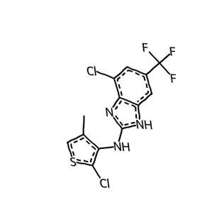 Cc1csc(Cl)c1Nc1nc2c(Cl)cc(C(F)(F)F)cc2[nH]1